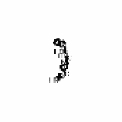 O=C(NC[C@@H](O)CN1CCc2ccccc2C1)c1cn2c(n1)CCC(C(=O)N1CC3(CNC3)C1)C2